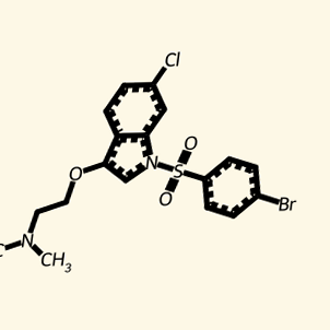 CN(C)CCOc1cn(S(=O)(=O)c2ccc(Br)cc2)c2cc(Cl)ccc12